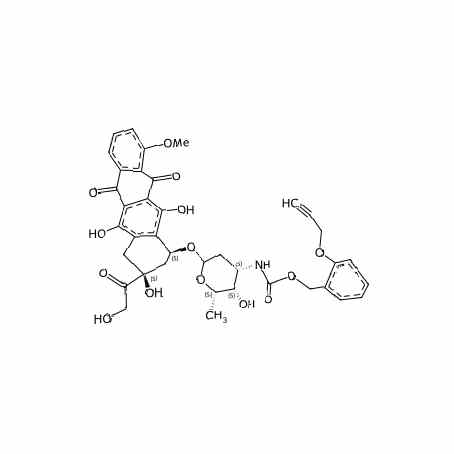 C#CCOc1ccccc1COC(=O)N[C@H]1CC(O[C@H]2C[C@](O)(C(=O)CO)Cc3c(O)c4c(c(O)c32)C(=O)c2c(OC)cccc2C4=O)O[C@@H](C)[C@H]1O